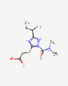 CCC(C)c1nc(SCC(=O)O)n(C(=O)N(C)C)n1